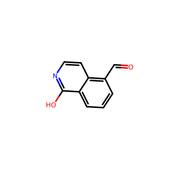 O=Cc1cccc2c(O)nccc12